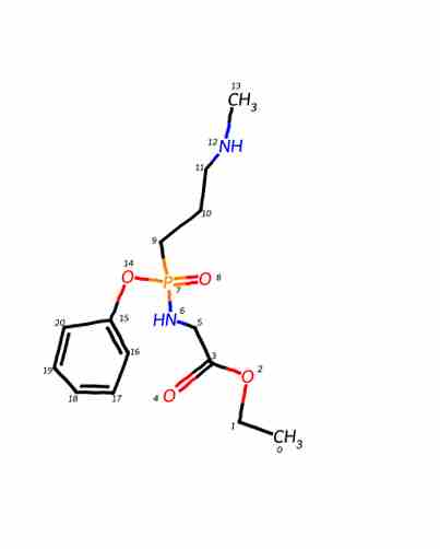 CCOC(=O)CNP(=O)(CCCNC)Oc1ccccc1